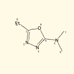 CCc1nnc(N(C)C)o1